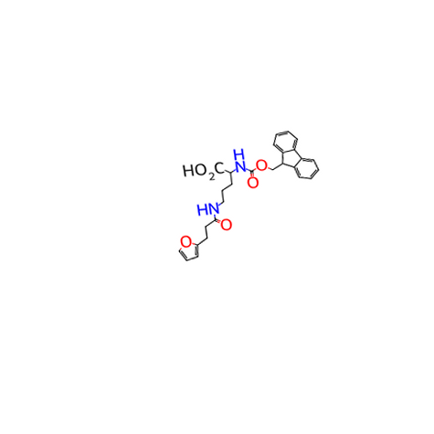 O=C(CCc1ccco1)NCCCC(NC(=O)OCC1c2ccccc2-c2ccccc21)C(=O)O